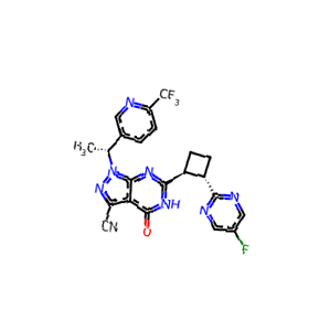 C[C@H](c1ccc(C(F)(F)F)nc1)n1nc(C#N)c2c(=O)[nH]c([C@H]3CC[C@@H]3c3ncc(F)cn3)nc21